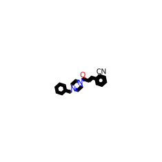 N#Cc1ccccc1C=CC(=O)N1CCN(CC2CCCCC2)CC1